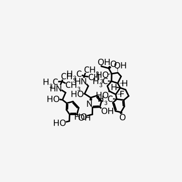 CC(C)(C)NCC(O)c1ccc(O)c(CO)c1.CC(C)(C)NCC(O)c1ccc(O)c(CO)n1.C[C@]12C=CC(=O)C=C1CC[C@H]1[C@@H]3C[C@@H](O)[C@](O)(C(=O)CO)[C@@]3(C)C[C@H](O)[C@@]12F